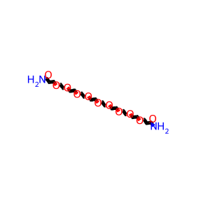 NC(=O)CCOCCOCCOCCOCCOCCOCCOCCOCCOCCC(N)=O